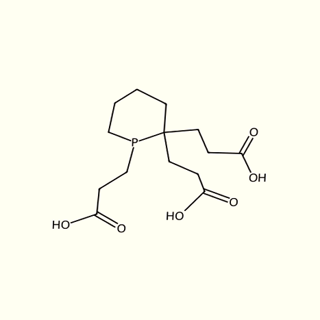 O=C(O)CCP1CCCCC1(CCC(=O)O)CCC(=O)O